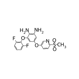 CS(=O)(=O)c1ccc(Oc2cc(N)c(N)c(Oc3c(F)cccc3F)c2)cn1